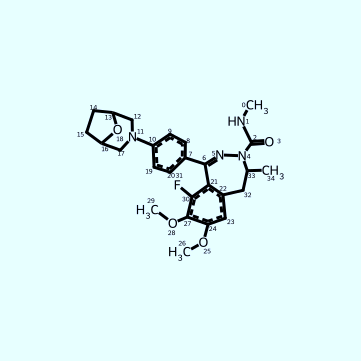 CNC(=O)N1N=C(c2ccc(N3CC4CCC(C3)O4)cc2)c2c(cc(OC)c(OC)c2F)CC1C